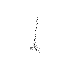 CCCCCCCCCCCCOP(=O)(O)OC(C)C